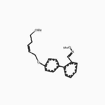 COCC/C=C\COc1ccc(-c2ccccc2/C=N/OC)cc1